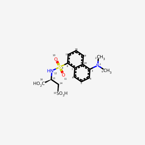 CN(C)c1cccc2c(S(=O)(=O)N[C@@H](CS(=O)(=O)O)C(=O)O)cccc12